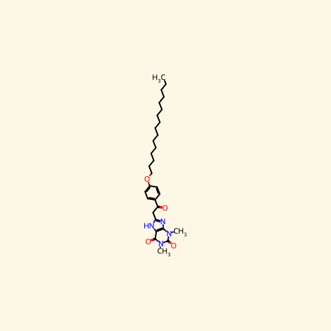 CCCCCCCCCCCCCCCCOc1ccc(C(=O)Cc2nc3c([nH]2)c(=O)n(C)c(=O)n3C)cc1